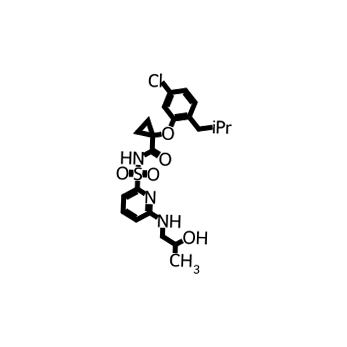 CC(C)Cc1ccc(Cl)cc1OC1(C(=O)NS(=O)(=O)c2cccc(NCC(C)O)n2)CC1